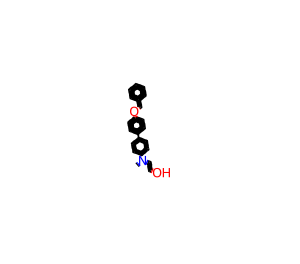 CN(CCO)[C@H]1CC[C@@H](c2ccc(OCc3ccccc3)cc2)CC1